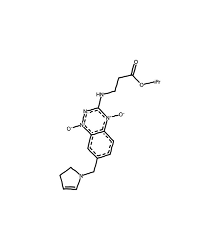 CC(C)OC(=O)CCNc1n[n+]([O-])c2cc(CN3C=CCC3)ccc2[n+]1[O-]